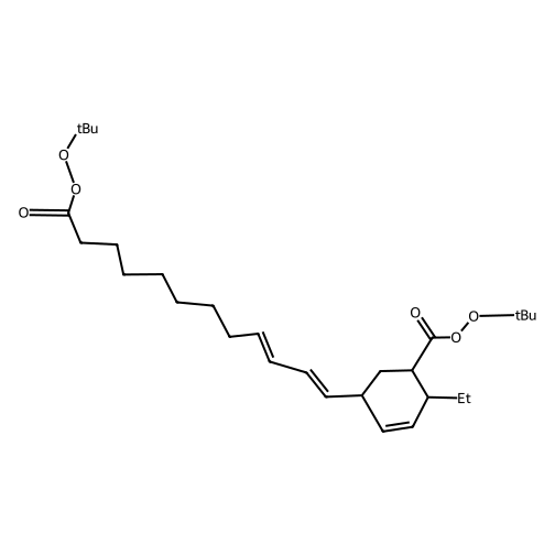 CCC1C=CC(C=CC=CCCCCCCCC(=O)OOC(C)(C)C)CC1C(=O)OOC(C)(C)C